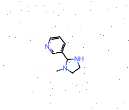 CN1CCNC1c1cccnc1